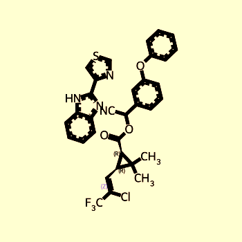 CC1(C)[C@H](C(=O)OC(C#N)c2cccc(Oc3ccccc3)c2)[C@@H]1/C=C(\Cl)C(F)(F)F.c1ccc2[nH]c(-c3cscn3)nc2c1